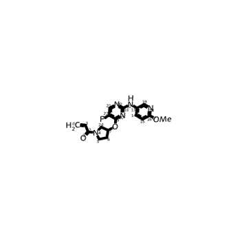 C=CC(=O)N1CCC(Oc2nc(Nc3ccc(OC)nc3)ncc2F)C1